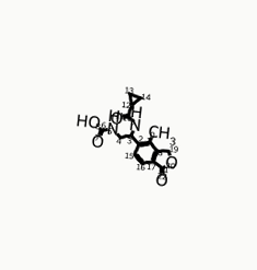 Cc1c(C(CNC(=O)O)NC(=O)C2CC2)ccc2c1COC2=O